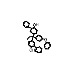 CCC(c1ccc(Oc2ccccc2)cc1)(c1ccc(O)c(-c2ccccc2)c1)c1ccc(O)c(-c2ccccc2)c1